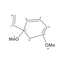 C=CC1(OC)C=CC=C(OC)C1